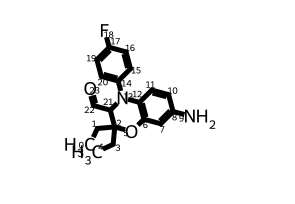 CCC1(CC)Oc2cc(N)ccc2N(c2ccc(F)cc2)C1C=O